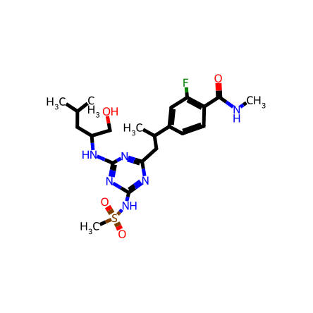 CNC(=O)c1ccc(C(C)Cc2nc(NC(CO)CC(C)C)nc(NS(C)(=O)=O)n2)cc1F